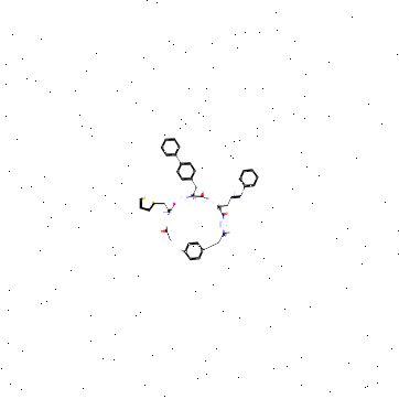 O=C1COc2ccc(cc2)C[C@@H](C(=O)O)NC(=O)[C@@H](C/C=C/c2ccccc2)NC(=O)[C@H](Cc2ccc(-c3ccccc3)cc2)NC(=O)[C@@H](Cc2cccs2)N1